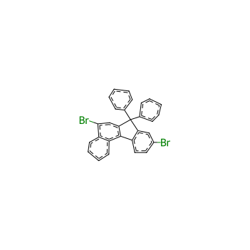 Brc1ccc2c(c1)C(c1ccccc1)(c1ccccc1)c1cc(Br)c3ccccc3c1-2